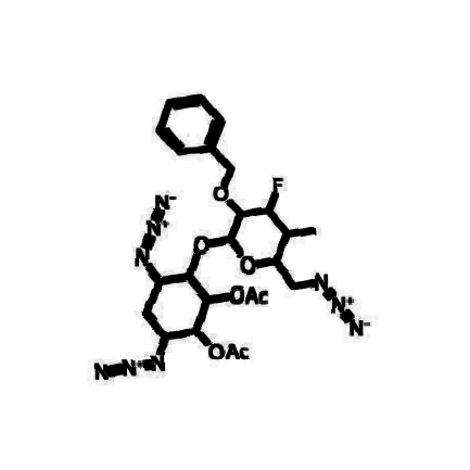 CC(=O)OC1C(N=[N+]=[N-])CC(N=[N+]=[N-])C(OC2OC(CN=[N+]=[N-])C(C)C(F)C2OCc2ccccc2)C1OC(C)=O